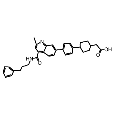 Cc1cc(C(=O)NCCCc2ccccc2)c2ccc(-c3ccc(C4CCC(CC(=O)O)CC4)cc3)cc2n1